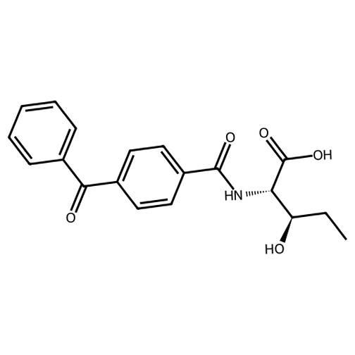 CC[C@@H](O)[C@H](NC(=O)c1ccc(C(=O)c2ccccc2)cc1)C(=O)O